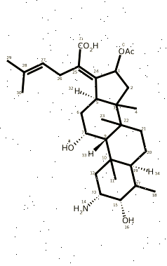 CC(=O)OC1CC2(C)[C@@H](C[C@@H](O)[C@H]3C4(C)C[C@@H](N)[C@@H](O)C(C)[C@@H]4CCC32C)/C1=C(\CC=C(C)C)C(=O)O